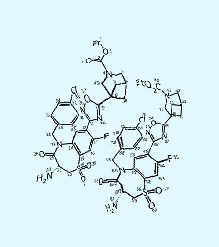 CC(C)OC(=O)N1CC2CC(c3nc(-c4cc5c(cc4F)S(=O)(=O)C[C@H](N)C(=O)N5Cc4ccc(Cl)cc4)no3)(C2)C1.CCOC(=O)N1CC2CC(c3nc(-c4cc5c(cc4F)S(=O)(=O)C[C@H](N)C(=O)N5Cc4ccc(Cl)cc4)no3)(C2)C1